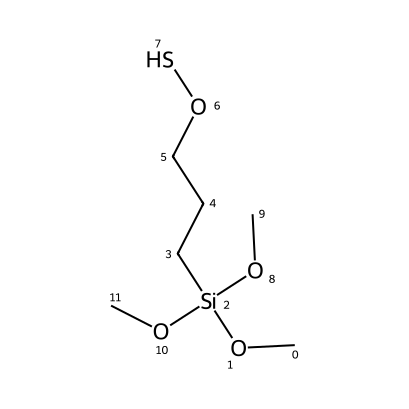 CO[Si](CCCOS)(OC)OC